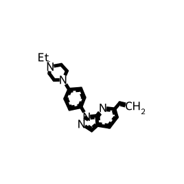 C=Cc1ccc2cnn(-c3ccc(N4CCN(CC)CC4)cc3)c2n1